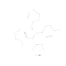 CCOC(=O)c1ncc2c(c1O)c(-c1ccccc1)c(-c1ccc(F)cc1)n2-c1ccccc1